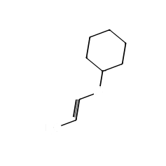 CC=CO[C]1CCCCC1